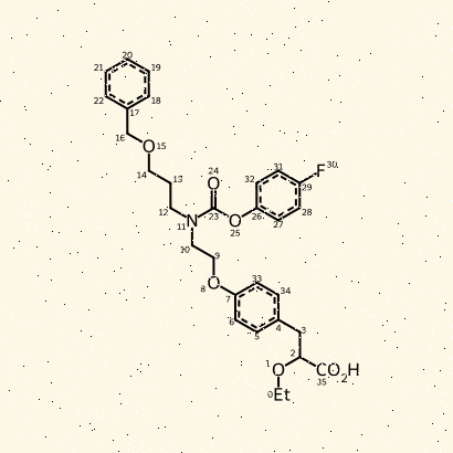 CCOC(Cc1ccc(OCCN(CCCOCc2ccccc2)C(=O)Oc2ccc(F)cc2)cc1)C(=O)O